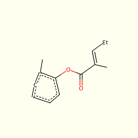 CCC=C(C)C(=O)Oc1ccccc1C